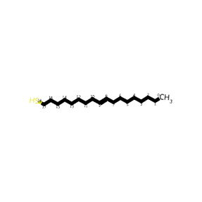 CCCCCCCCC=CCCCCCCCCS